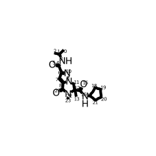 CC(C)NC(=O)c1cc2n(n1)CC(C)(C(=O)NC1CCCC1)N(C)C2=O